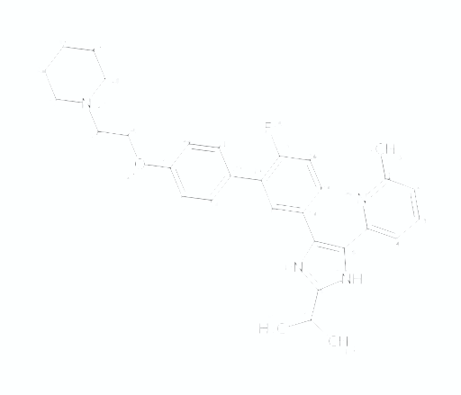 Cc1cccc(-c2[nH]c(C(C)C)nc2-c2ccc(F)c(-c3ccc(OCCN4CCCCC4)cc3)c2)n1